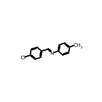 Cc1ccc(N=Cc2ccc(Cl)cc2)cc1